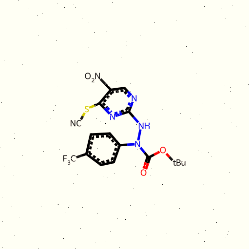 CC(C)(C)OC(=O)N(Nc1ncc([N+](=O)[O-])c(SC#N)n1)c1ccc(C(F)(F)F)cc1